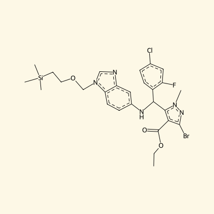 CCOC(=O)c1c(Br)nn(C)c1C(Nc1ccc2c(c1)ncn2COCC[Si](C)(C)C)c1ccc(Cl)cc1F